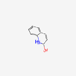 OC1C=Cc2ccccc2N1